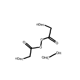 CCCCCCCCCCCC(=O)OOC(=O)CCCCCCCCCCC.O=CO